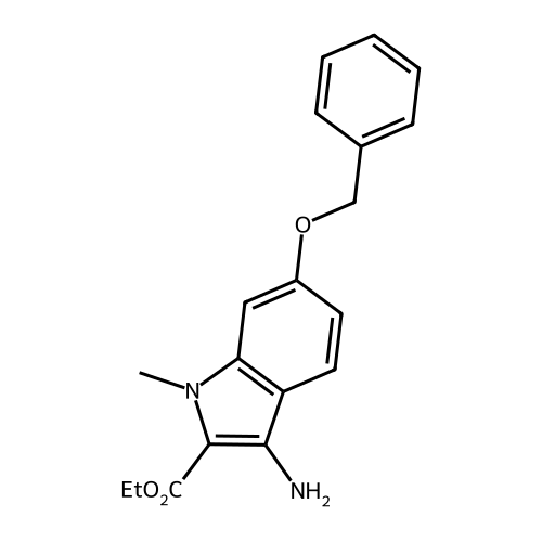 CCOC(=O)c1c(N)c2ccc(OCc3ccccc3)cc2n1C